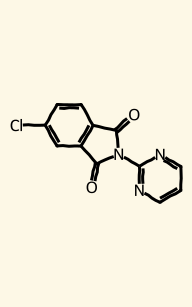 O=C1c2ccc(Cl)cc2C(=O)N1c1ncccn1